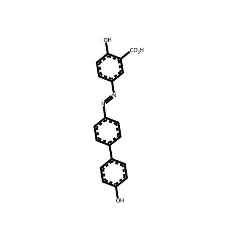 O=C(O)c1cc(N=Nc2ccc(-c3ccc(O)cc3)cc2)ccc1O